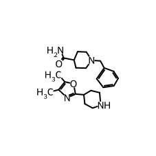 Cc1nc(C2CCNCC2)oc1C.NC(=O)C1CCN(Cc2ccccc2)CC1